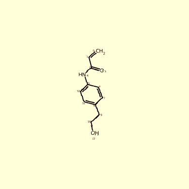 C=CC(=O)Nc1ccc(CCO)cc1